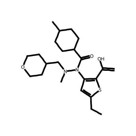 C=C(O)c1sc(CC)cc1N(C(=O)C1CCC(C)CC1)N(C)CC1CCOCC1